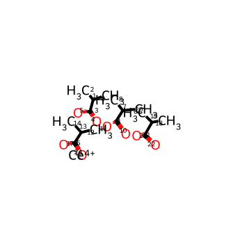 CC(C)C(=O)[O-].CC(C)C(=O)[O-].CC(C)C(=O)[O-].CC(C)C(=O)[O-].[Ce+4]